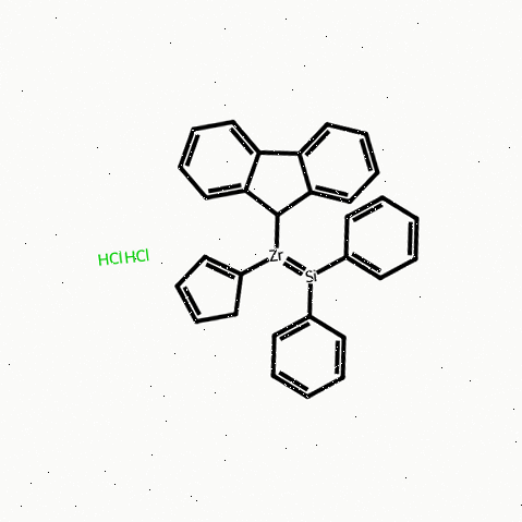 C1=CC[C]([Zr]([CH]2c3ccccc3-c3ccccc32)=[Si](c2ccccc2)c2ccccc2)=C1.Cl.Cl